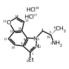 CCc1nn(C[C@H](C)N)c2c1ccc1occc12.Cl.Cl